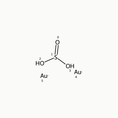 O=S(O)O.[Au].[Au]